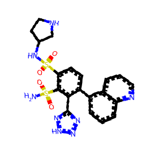 NS(=O)(=O)c1c(S(=O)(=O)NC2CCNC2)ccc(-c2cccc3ncccc23)c1-c1nn[nH]n1